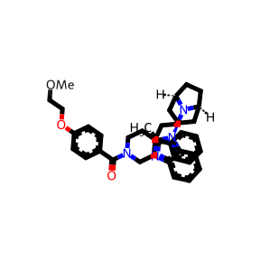 COCCOc1ccc(C(=O)N2CCC(CCN3[C@@H]4CC[C@H]3C[C@@H](n3c(C)nc5ccccc53)C4)(c3ccccc3)CC2)cc1